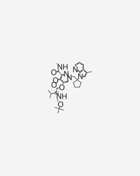 CNC(=O)c1nn(CC2(n3cc(C)c4cccnc43)CCCC2)cc(OC(=O)[C@@H](NCOC(C)(C)C)C(C)C)c1=O